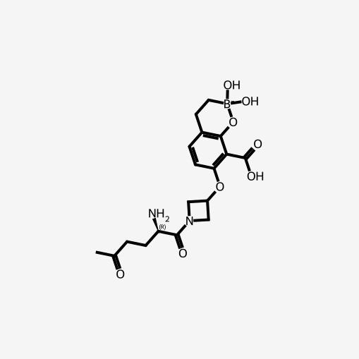 CC(=O)CC[C@@H](N)C(=O)N1CC(Oc2ccc3c(c2C(=O)O)O[B-](O)(O)CC3)C1